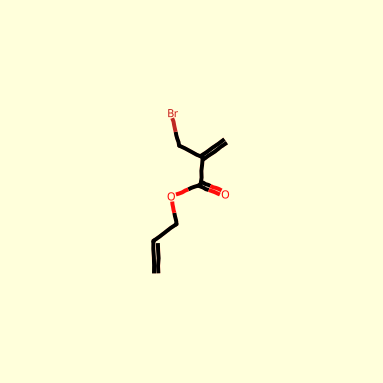 C=CCOC(=O)C(=C)CBr